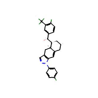 C[C@]12Cc3cnn(-c4ccc(F)cc4)c3C=C1CCC[C@@H]2[C@@H](O)c1ccc(F)c(C(F)(F)F)c1